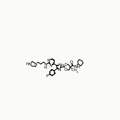 CC1(C(=O)NC2CCCCC2)COC(c2nc(-c3ccc(F)cc3)c(-c3ccnc(NCCCN4CCNC4)n3)[nH]2)OC1